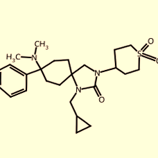 CN(C)C1(c2ccccc2)CCC2(CC1)CN(C1CCS(=O)(=O)CC1)C(=O)N2CC1CC1